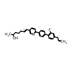 C=CCc1ccc(-c2ccc(-c3ccc(/C=C/CCCC(C)O)cn3)cc2)c(F)c1